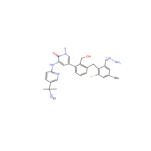 CCNC(C)(C)c1ccc(Nc2cc(-c3cccc(Cc4c(F)cc(C(C)(C)C)cc4/C=N\N)c3CO)cn(C)c2=O)nc1